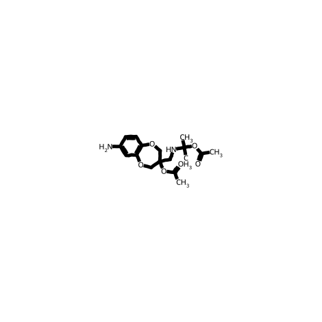 CC(=O)OC1(CNC(C)(C)OC(C)=O)COc2ccc(N)cc2OC1